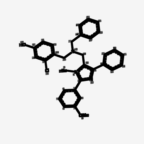 CCCCn1c(-c2cccc(OC)c2)nc(-c2ccccc2)c1CN(Cc1ccccc1)Cc1ccc(O)cc1Cl